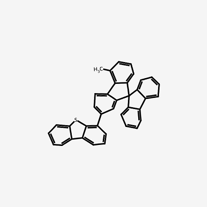 Cc1cccc2c1-c1ccc(-c3cccc4c3sc3ccccc34)cc1C21c2ccccc2-c2ccccc21